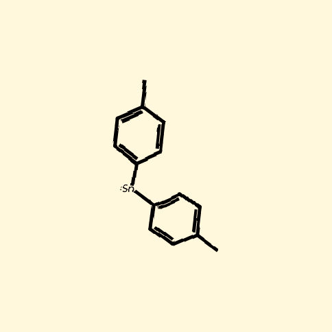 Cc1cc[c]([Sn][c]2ccc(C)cc2)cc1